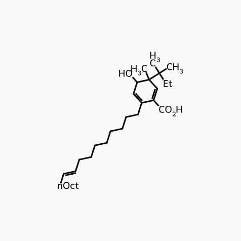 CCCCCCCCC=CCCCCCCCCC1=CC(O)C(C)(C(C)(C)CC)C=C1C(=O)O